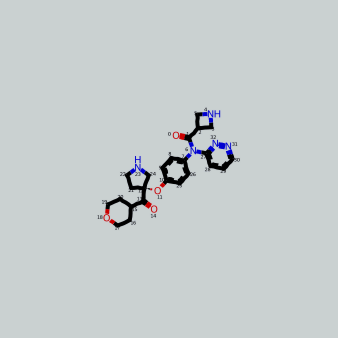 O=C(C1CNC1)N(c1ccc(O[C@]2(C(=O)C3CCOCC3)CCNC2)cc1)c1cccnn1